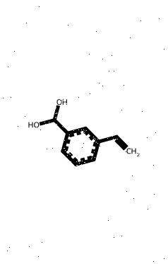 C=Cc1cccc(C(O)O)c1